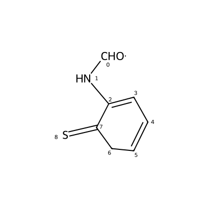 O=[C]NC1=CC=CCC1=S